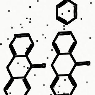 O=C1c2ccccc2Cc2ccccc21.O=C1c2ccccc2Cc2ccccc21.c1ccccc1